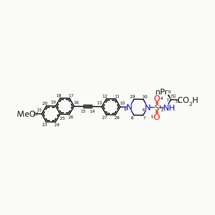 CCC[C@H](NS(=O)(=O)N1CCN(c2ccc(C#Cc3ccc4cc(OC)ccc4c3)cc2)CC1)C(=O)O